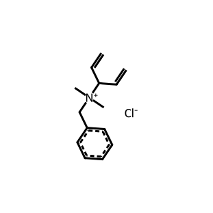 C=CC(C=C)[N+](C)(C)Cc1ccccc1.[Cl-]